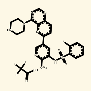 COc1ncc(-c2ccc3ncnc(N4CCNCC4)c3n2)cc1NS(=O)(=O)c1ccccc1F.O=C(O)C(F)(F)F